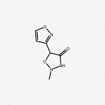 CN1NC(=O)C(c2ccon2)O1